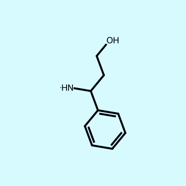 [NH]C(CCO)c1ccccc1